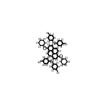 Cc1ccc(N(c2ccc(C)cc2)c2cc(OC3CCCCC3)c3ccc4c(N(c5ccc(C)cc5)c5ccc(C)cc5)cc(OC5CCCCC5)c5ccc2c3c54)cc1